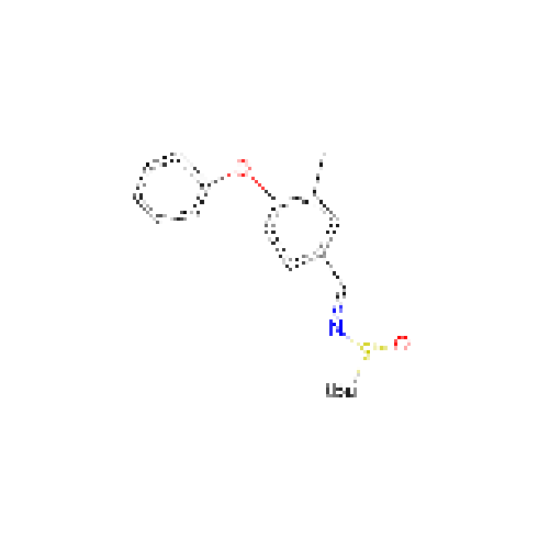 Cc1cc(C=N[S@+]([O-])C(C)(C)C)ccc1Oc1ccccc1